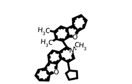 Cc1cc2c(oc3ccccc32)c(-c2c3ccc4c5ccccc5oc4c3c(C3CCCC3)c[n+]2C)c1C